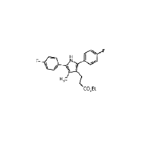 CCOC(=O)CCc1c(-c2ccc(F)cc2)[nH]c(-c2ccc(F)cc2)c1C